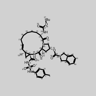 Cc1ccc(NS(=O)(=O)NC(=O)[C@@]23C[C@H]2/C=C/CCCCC[C@H](NC(=O)OC(C)(C)C)C(=O)N2C[C@H](OC(=O)N4Cc5ccccc5C4)C[C@H]2C(=O)N3)cc1